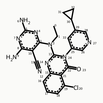 CCN(c1nc(N)nc(N)c1C#N)c1nc2cccc(Cl)c2c(=O)n1-c1cncc(C2CC2)c1